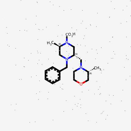 C[C@@H]1COCCN1C[C@H]1CN(C(=O)O)[C@H](C)CN1Cc1ccccc1